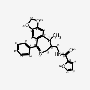 CN1c2cc3c(cc2C(c2ccccc2)=NCC1CNC(=O)c1ccco1)OCO3